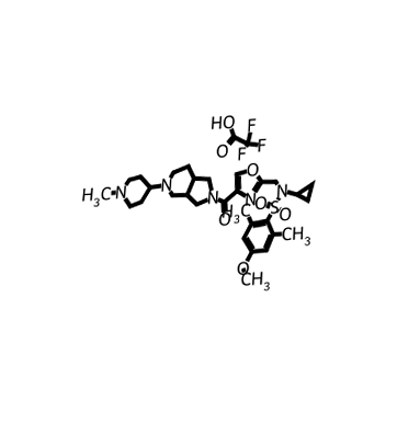 COc1cc(C)c(S(=O)(=O)N(Cc2nc(C(=O)N3CC4CCN(C5CCN(C)CC5)CC4C3)co2)C2CC2)c(C)c1.O=C(O)C(F)(F)F